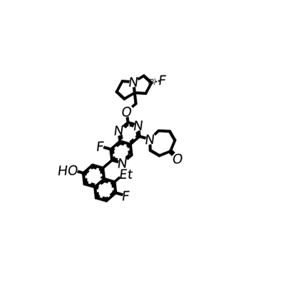 CCc1c(F)ccc2cc(O)cc(-c3ncc4c(N5CCCC(=O)CC5)nc(OCC56CCCN5C[C@H](F)C6)nc4c3F)c12